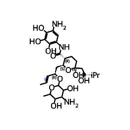 C/C=C/[C@@H](C[C@@H]1O[C@](O)(C[C@@H](O)C(C)C)CC[C@H]1C(=O)Nc1cc(N)c(O)c(O)c1O)OC1OC(C)C(O)C(N)C1O